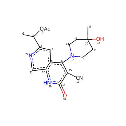 CC(=O)OC(C)c1cc2c(N3CCC(C)(O)CC3)c(C#N)c(=O)[nH]c2cn1